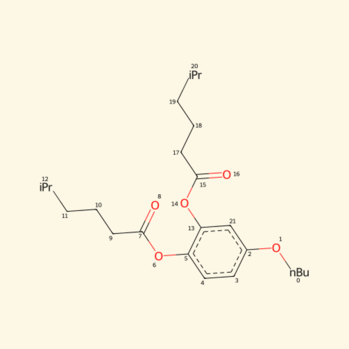 CCCCOc1ccc(OC(=O)CCCC(C)C)c(OC(=O)CCCC(C)C)c1